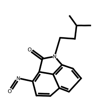 CC(C)CCN1C(=O)c2c(N=O)ccc3cccc1c23